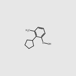 Cc1cccc(OO)c1C1CCCC1